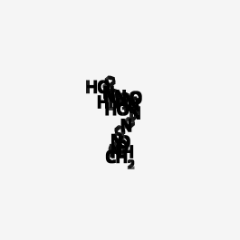 C=C1CCC(N2Cc3ccc(N4CCC(CN5CCN(C(=O)N6CCN7c8cc(-c9ccccc9O)nnc8NC[C@H]7C6)C(CO)C5)CC4)cc3C2=O)C(=O)N1